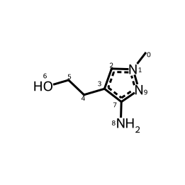 Cn1cc(CCO)c(N)n1